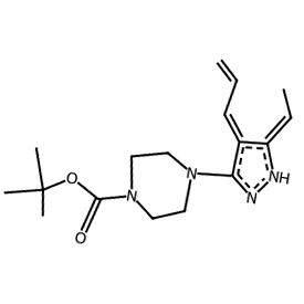 C=C/C=c1/c(N2CCN(C(=O)OC(C)(C)C)CC2)n[nH]/c1=C/C